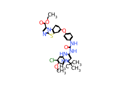 CCOC(=O)c1cnc2sc3cc(Oc4ccc(NC(=O)N/C(=C/C(=N)C(C)(C)C)Nc5ccc(OC)c(Cl)c5)cc4)ccc3n12